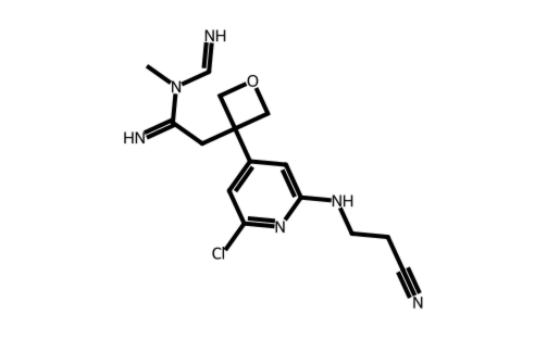 CN(C=N)C(=N)CC1(c2cc(Cl)nc(NCCC#N)c2)COC1